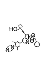 Cc1cc(-c2cnc3c(c2)c(C#CC2(CO)CCC2)cn3S(=O)(=O)Cc2ccccc2)cc(C)c1N1CCN(C)CC1